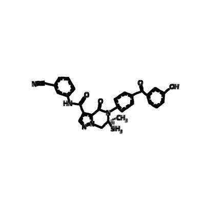 C[C@]1([SiH3])Cn2ncc(C(=O)Nc3cccc(C#N)c3)c2C(=O)N1c1ccc(C(=O)c2cccc(O)c2)cc1